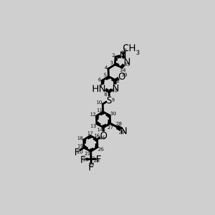 Cn1cc(Cc2c[nH]c(SCc3ccc(Oc4ccc(F)c(C(F)(F)F)c4)c(C#N)c3)nc2=O)cn1